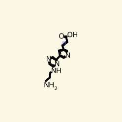 NCCCNc1cncc(-c2cncc(/C=C/C(=O)O)c2)n1